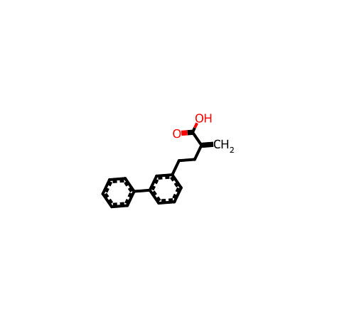 C=C(CCc1cccc(-c2ccccc2)c1)C(=O)O